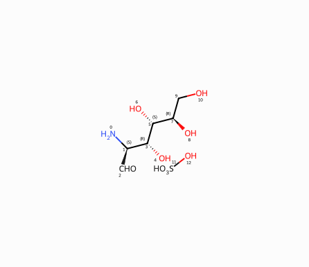 N[C@H](C=O)[C@@H](O)[C@H](O)[C@H](O)CO.O=S(=O)(O)O